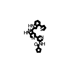 O=C(Nc1cncc(-c2cc3c(-c4cc5c(-c6cccs6)cccc5[nH]4)n[nH]c3cn2)c1)C1CCCC1